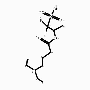 CCN(CC)CCCC(=O)OC(C)C(F)(F)S(=O)(=O)O